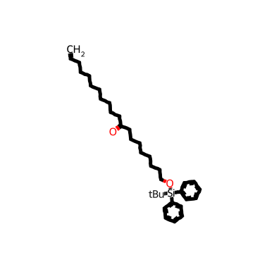 C=CCCCCCCCCCC(=O)CCCCCCCCO[Si](c1ccccc1)(c1ccccc1)C(C)(C)C